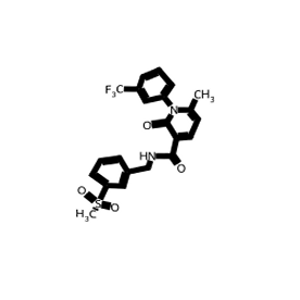 Cc1ccc(C(=O)NCc2cccc(S(C)(=O)=O)c2)c(=O)n1-c1cccc(C(F)(F)F)c1